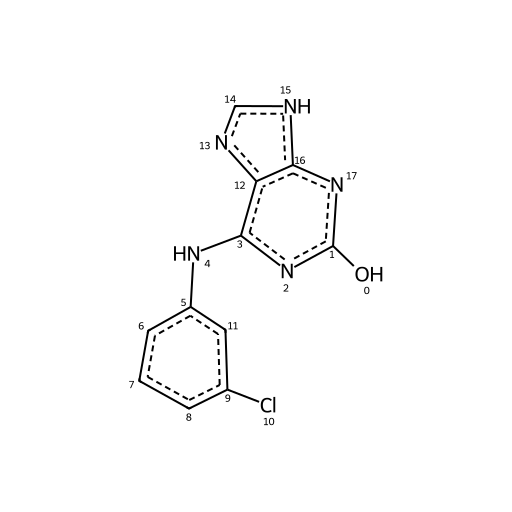 Oc1nc(Nc2cccc(Cl)c2)c2nc[nH]c2n1